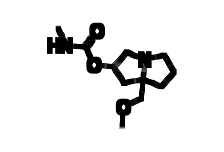 CNC(=O)OC1CN2CCCC2(COC)C1